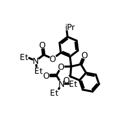 CCN(CC)C(=O)Oc1cc(C(C)C)ccc1C1(OC(=O)N(CC)CC)C(=O)c2ccccc2C1=O